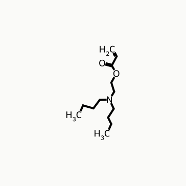 C=CC(=O)OCCN(CCCC)CCCC